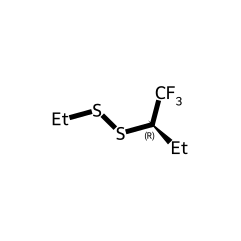 CCSS[C@H](CC)C(F)(F)F